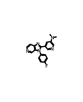 CN(C)c1cncc(-c2nc3ccncc3n2-c2ccc(F)cc2)c1